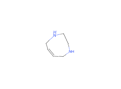 C1=CCNCCNC1